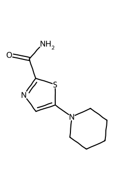 NC(=O)c1ncc(N2CCCCC2)s1